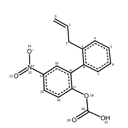 C=CCc1ccccc1-c1cc([N+](=O)[O-])ccc1OC(=O)O